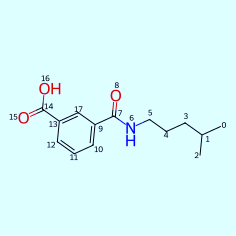 CC(C)CCCNC(=O)c1cccc(C(=O)O)c1